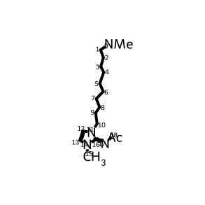 CNCCCCCCCCCCn1ccn(C)/c1=N/C(C)=O